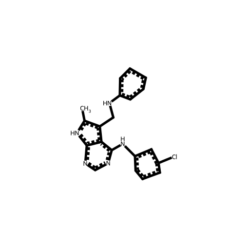 Cc1[nH]c2ncnc(Nc3cccc(Cl)c3)c2c1CNc1ccccc1